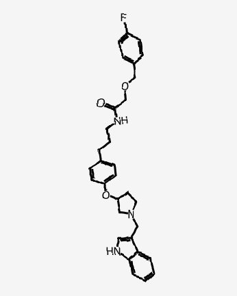 O=C(COCc1ccc(F)cc1)NCCCc1ccc(OC2CCN(Cc3c[nH]c4ccccc34)C2)cc1